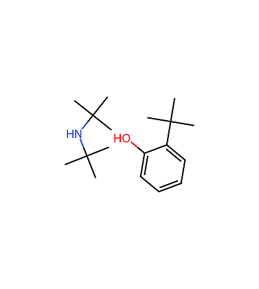 CC(C)(C)NC(C)(C)C.CC(C)(C)c1ccccc1O